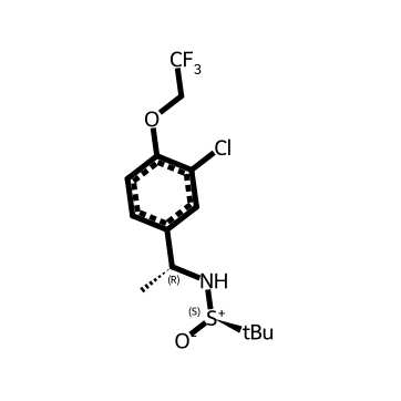 C[C@@H](N[S@+]([O-])C(C)(C)C)c1ccc(OCC(F)(F)F)c(Cl)c1